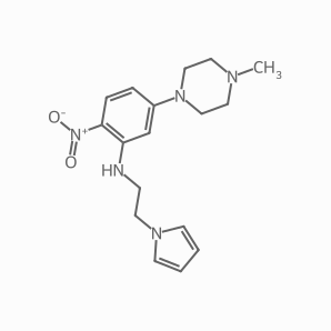 CN1CCN(c2ccc([N+](=O)[O-])c(NCCn3cccc3)c2)CC1